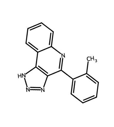 Cc1ccccc1-c1nc2ccccc2c2[nH]nnc12